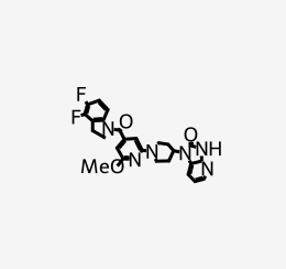 COc1cc(C(=O)N2CCc3c2ccc(F)c3F)cc(N2CCC(n3c(=O)[nH]c4ncccc43)CC2)n1